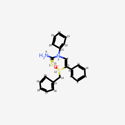 NC(=S)N(C=C(c1ccccc1)[S+]([O-])Cc1ccccc1)c1ccccc1